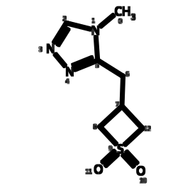 Cn1cnnc1CC1CS(=O)(=O)C1